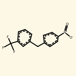 O=[N+]([O-])c1ccc(Cc2cccc(C(F)(F)F)c2)cc1